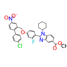 COC(=O)c1ccc2c(c1)nc(-c1ccc(OCc3cc([N+](=O)[O-])ccc3-c3ccc(Cl)cc3)cc1F)n2C1CCCCC1